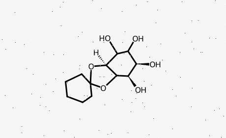 OC1C(O)[C@@H](O)[C@@H](O)C2OC3(CCCCC3)O[C@@H]12